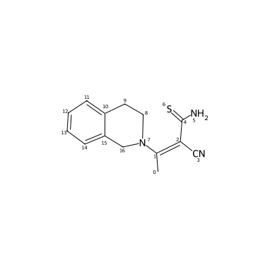 C/C(=C(\C#N)C(N)=S)N1CCc2ccccc2C1